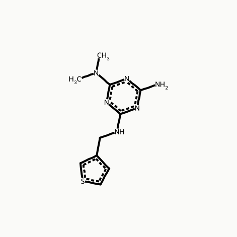 CN(C)c1nc(N)nc(NCc2ccsc2)n1